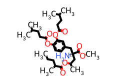 CCCC(C)C(=O)OC(C)C[C@@](N)(Cc1ccc(OC(=O)CCC(C)C)c(OC(=O)CCC(C)C)c1)C(=O)OC